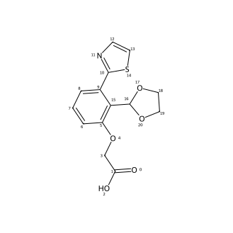 O=C(O)COc1cccc(-c2nccs2)c1C1OCCO1